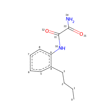 CCCCc1ccccc1NC(=O)C(N)=O